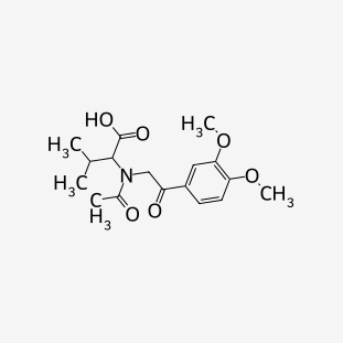 COc1ccc(C(=O)CN(C(C)=O)C(C(=O)O)C(C)C)cc1OC